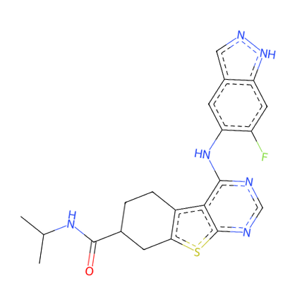 CC(C)NC(=O)C1CCc2c(sc3ncnc(Nc4cc5cn[nH]c5cc4F)c23)C1